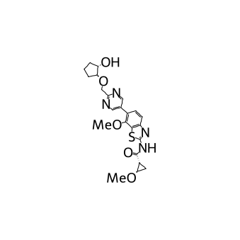 COc1c(-c2cnc(CO[C@H]3CCC[C@@H]3O)nc2)ccc2nc(NC(=O)[C@@H]3C[C@H]3OC)sc12